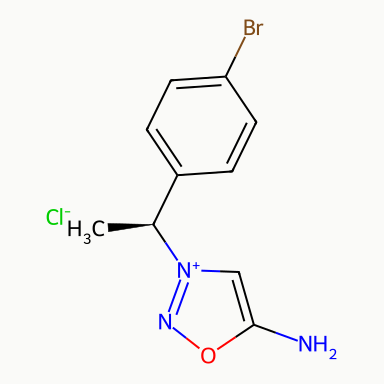 C[C@@H](c1ccc(Br)cc1)[n+]1cc(N)on1.[Cl-]